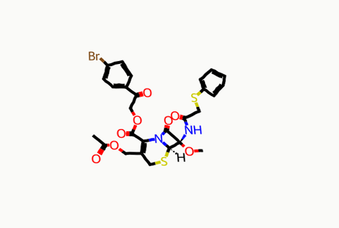 CO[C@@]1(NC(=O)CSc2ccccc2)C(=O)N2C(C(=O)OCC(=O)c3ccc(Br)cc3)=C(COC(C)=O)CS[C@@H]21